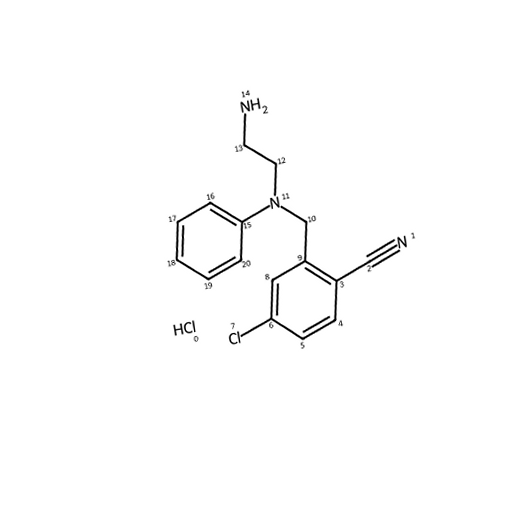 Cl.N#Cc1ccc(Cl)cc1CN(CCN)c1ccccc1